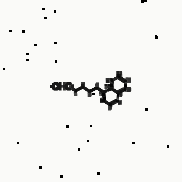 O=[C]CCCCc1cccc2ccccc12